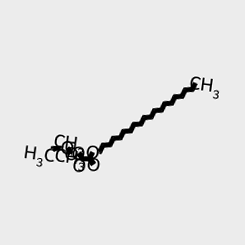 CCCCCCCCCCCCCCCCCCCCOC(=O)C(=O)OOOC(C)(C)CC